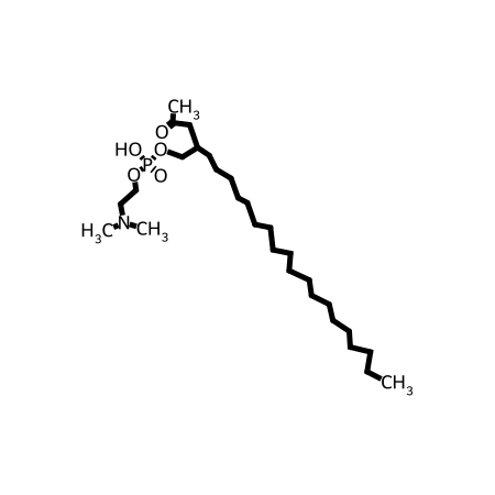 CCCCCCCCCCCCCCCCCCCC(COP(=O)(O)OCCN(C)C)CC(C)=O